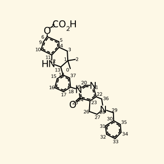 CC1(C)Cc2cc(OC(=O)O)ccc2NC1c1cccc(-n2cnc3c(c2=O)CCN(Cc2ccccc2)C3)c1